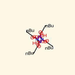 CCCC/C=C\CCCCCCCC(=O)OCC(O)CN1CCCN(CC(O)COC(=O)CCCCCCC/C=C\CCCC)CCN(CC(O)COC(=O)CCCCCCC/C=C\CCCC)CCCN(CC(O)COC(=O)CCCCCCC/C=C\CCCC)CC1